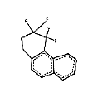 FC1(F)CCc2ccc3ccccc3c2C1(F)F